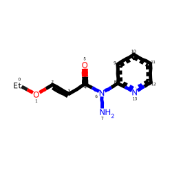 CCOC=CC(=O)N(N)c1ccccn1